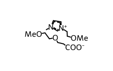 COCCOCCC(=O)[O-].COCC[n+]1ccn(C)c1